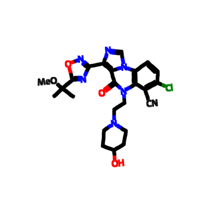 COC(C)(C)c1nc(-c2ncn3c2c(=O)n(CCN2CCC(O)CC2)c2c(C#N)c(Cl)ccc23)no1